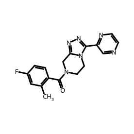 Cc1cc(F)ccc1C(=O)N1CCn2c(nnc2-c2cnccn2)C1